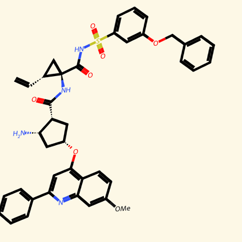 C=C[C@@H]1C[C@]1(NC(=O)[C@@H]1C[C@H](Oc2cc(-c3ccccc3)nc3cc(OC)ccc23)C[C@@H]1N)C(=O)NS(=O)(=O)c1cccc(OCc2ccccc2)c1